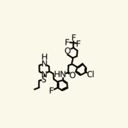 CCCSN1CCNCC1CCc1c(F)cccc1NC(=O)CC(c1ccc(Cl)cc1)C1CCC(C(F)(F)F)OC1